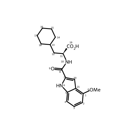 COc1cccc2[nH]c(C(=O)N[C@@H](CC3CCCCC3)C(=O)O)cc12